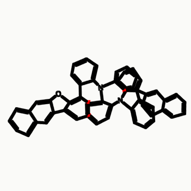 c1cc(-c2ccc3ccccc3c2)cc(N(c2ccccc2-c2cccc3c2oc2cc4ccccc4cc23)c2ccccc2-n2c3ccccc3c3ccccc32)c1